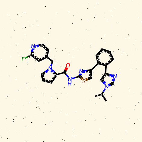 CC(C)n1cnc(-c2ccccc2-c2csc(NC(=O)c3cccn3Cc3ccnc(F)c3)n2)c1